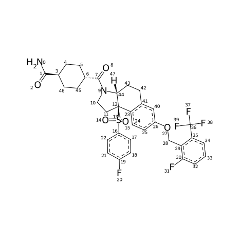 NC(=O)[C@H]1CC[C@H](C(=O)N2CC[C@@]3(S(=O)(=O)c4ccc(F)cc4)c4ccc(OCc5c(F)cccc5C(F)(F)F)cc4CC[C@@H]23)CC1